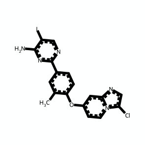 Cc1cc(-c2ncc(I)c(N)n2)ccc1Oc1ccn2c(Cl)cnc2c1